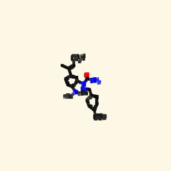 CCCCN(CCCC)c1ccc(/C(C)=C/C(=O)O)cc1N(/N=C/c1ccc(OC)cc1)C(N)=O